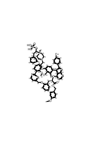 COc1ccc(COC(=O)[C@@H](Cc2ccccc2OCc2ccnc(-c3ccccc3OC)n2)Oc2ncnc3sc(-c4ccc(F)cc4)c(-c4ccc(OCCN5CC[N+](C)(C(Cc6ccccc6)OP(=O)(O)O)CC5)c(Cl)c4Br)c23)cc1